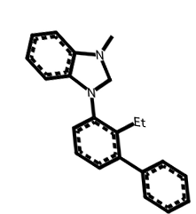 CCc1c(-c2ccccc2)cccc1N1CN(C)c2ccccc21